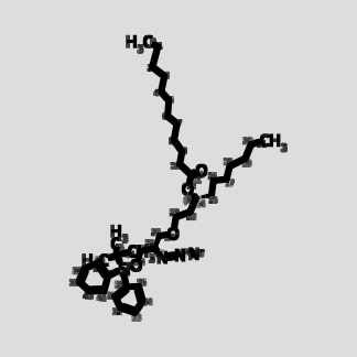 CCCCCCCCCCCC(=O)O[C@H](CCCCCCC)CCOC[C@H](CO[Si](c1ccccc1)(c1ccccc1)C(C)(C)C)N=[N+]=[N-]